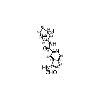 O=CNc1csc2cnc(C(=O)N[C@@H]3C[C@@H]4CCN(C4)C3)cc12